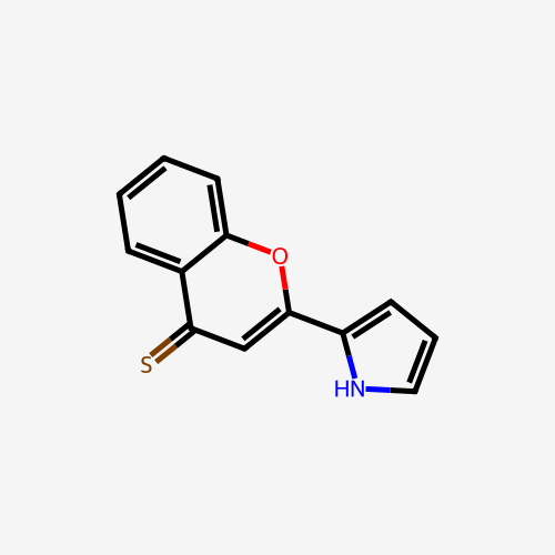 S=c1cc(-c2ccc[nH]2)oc2ccccc12